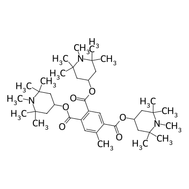 Cc1cc(C(=O)OC2CC(C)(C)N(C)C(C)(C)C2)c(C(=O)OC2CC(C)(C)N(C)C(C)(C)C2)cc1C(=O)OC1CC(C)(C)N(C)C(C)(C)C1